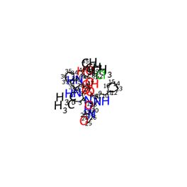 CC(C)CC(NC(=O)[C@H](CCc1ccccc1)NC(=O)CN1CCOCC1)C(=O)NC(Cc1ccccc1)C(O)NC(CC(C)C)C(=O)C(C)(O)CCl